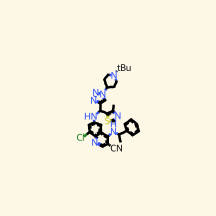 Cc1ncsc1C(Nc1cc(Cl)c2ncc(C#N)c(NC(C)c3ccccc3)c2c1)c1cn(C2CCN(C(C)(C)C)CC2)nn1